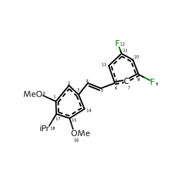 COc1cc(/C=C/c2cc(F)cc(F)c2)cc(OC)c1C(C)C